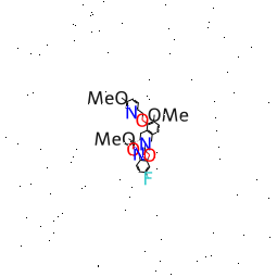 COC(=O)[C@@H]1Cc2c(ccc(OC)c2OCc2ccc(OC)cn2)CN1c1nc2ccc(F)cc2o1